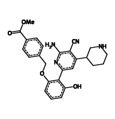 COC(=O)c1ccc(COc2cccc(O)c2-c2cc(C3CCCNC3)c(C#N)c(N)n2)cc1